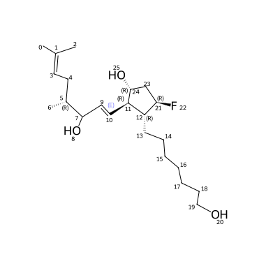 CC(C)=CC[C@@H](C)C(O)/C=C/[C@@H]1[C@@H](CCCCCCCO)[C@H](F)C[C@H]1O